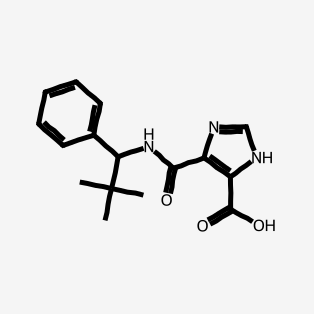 CC(C)(C)C(NC(=O)c1nc[nH]c1C(=O)O)c1ccccc1